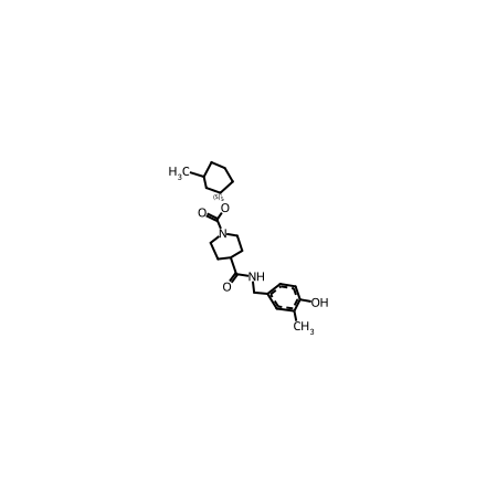 Cc1cc(CNC(=O)C2CCN(C(=O)O[C@H]3CCCC(C)C3)CC2)ccc1O